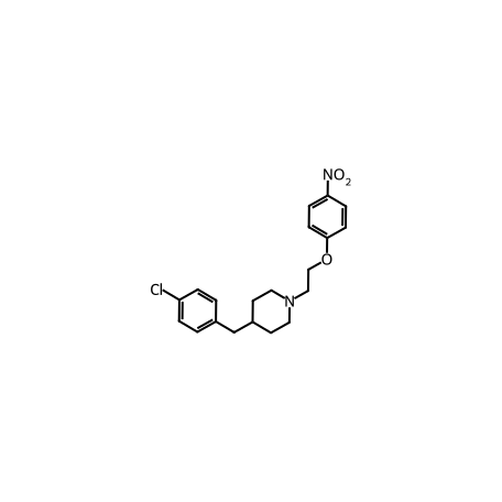 O=[N+]([O-])c1ccc(OCCN2CCC(Cc3ccc(Cl)cc3)CC2)cc1